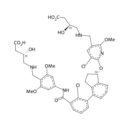 COc1cc(NC(=O)c2cccc(-c3cccc4c3CC[C@@H]4Oc3nc(OC)c(CNC[C@@H](O)CC(=O)O)cc3Cl)c2Cl)cc(OC)c1CNC[C@@H](O)CC(=O)O